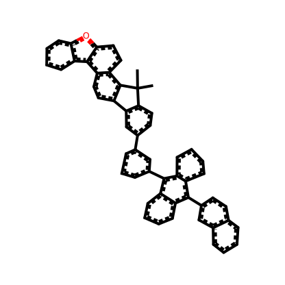 CC1(C)c2ccc(-c3cccc(-c4c5ccccc5c(-c5ccc6ccccc6c5)c5ccccc45)c3)cc2-c2ccc3c(ccc4oc5ccccc5c43)c21